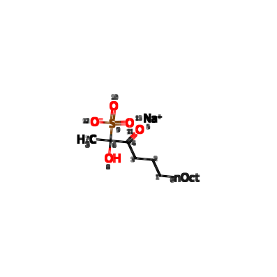 CCCCCCCCCCCC(=O)C(C)(O)S(=O)(=O)[O-].[Na+]